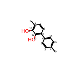 Cc1ccc(-c2ccc(C)c(O)c2O)cc1